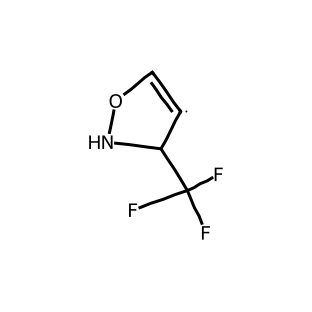 FC(F)(F)C1[C]=CON1